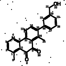 Cc1ccnc2c1C(=O)C(=O)c1c-2ncc(-c2cccc(CO)c2)c1C